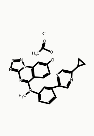 CC(=O)[O-].CN(c1cccc(-c2cnc(C3CC3)cn2)c1)c1nc2nnnn2c2cc(Cl)ccc12.[K+]